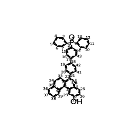 O=P(c1ccccc1)(c1ccccc1)c1ccc(-c2ccc(-c3nc4ccc(O)cc4c4c3ccc3ccccc34)cc2)cc1